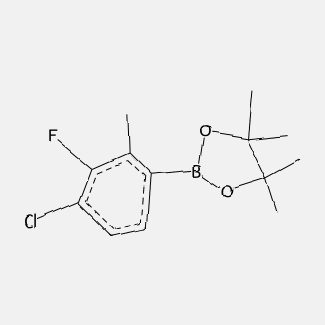 Cc1c(B2OC(C)(C)C(C)(C)O2)ccc(Cl)c1F